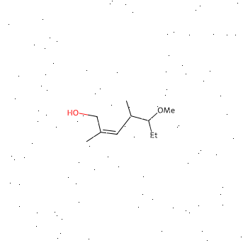 CCC(OC)C(C)C=C(C)CO